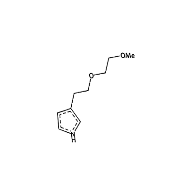 COCCOCCc1cc[nH]c1